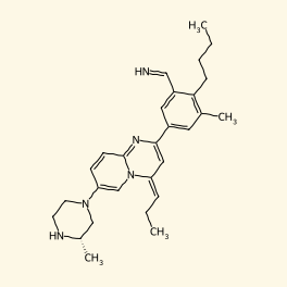 CC/C=C1/C=C(c2cc(C)c(CCCC)c(C=N)c2)N=C2C=CC(N3CCN[C@@H](C)C3)=CN21